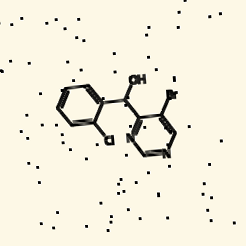 OC(c1ccccc1Cl)c1ncncc1Br